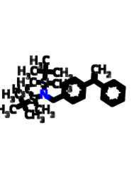 C=C(c1ccccc1)c1ccc(CN([Si](C)(C)C(C)(C)C)[Si](C)(C)C(C)(C)C)cc1